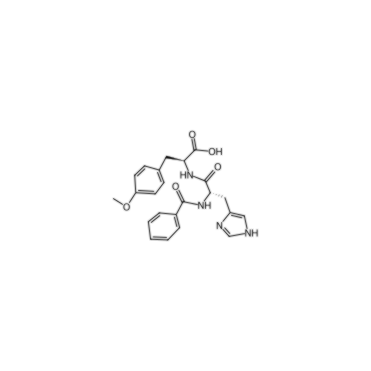 COc1ccc(C[C@H](NC(=O)[C@H](Cc2c[nH]cn2)NC(=O)c2ccccc2)C(=O)O)cc1